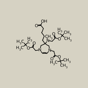 CN(CC(=O)OC(C)(C)C)C1(CCCCC(=O)O)CN(CC(=O)OC(C)(C)C)C=CN(CC(=O)OC(C)(C)C)C1